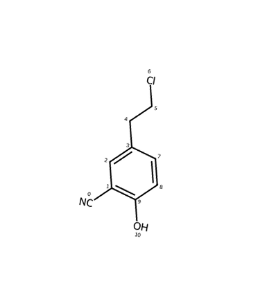 N#Cc1cc(CCCl)ccc1O